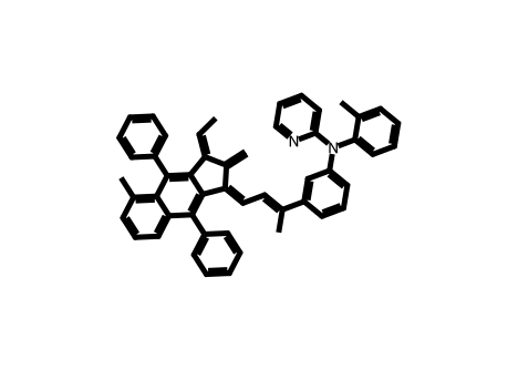 C=C1/C(=C\C=C(/C)c2cccc(N(c3ccccn3)c3ccccc3C)c2)c2c(c(-c3ccccc3)c3c(C)cccc3c2-c2ccccc2)/C1=C/C